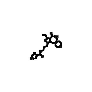 CCc1nn(CCCOC(=O)c2c[nH]cn2)c2c1C(=O)NCC1(CCOCC1)C2